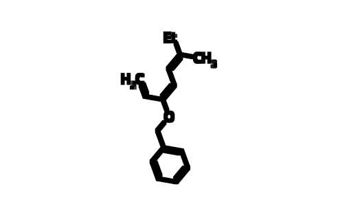 C=C/C(=C\C=C(/C)CC)OCc1ccccc1